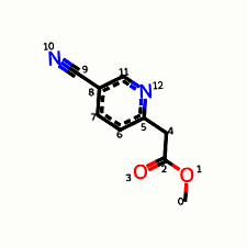 COC(=O)Cc1ccc(C#N)cn1